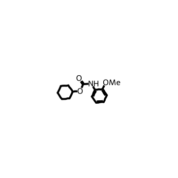 COc1ccccc1NC(=O)OC1CCCCC1